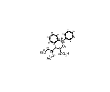 CC(=O)S[C@H](CC(O[SiH](c1ccccc1)c1ccccc1)C(=O)O)CC(C)(C)C